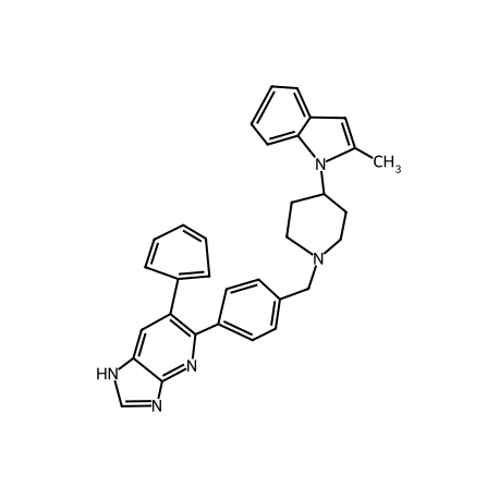 Cc1cc2ccccc2n1C1CCN(Cc2ccc(-c3nc4nc[nH]c4cc3-c3ccccc3)cc2)CC1